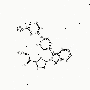 C=CC(=O)N1CCC(n2nc3ccncc3c2-c2ccc(-c3cccc(C)c3)cc2)C1